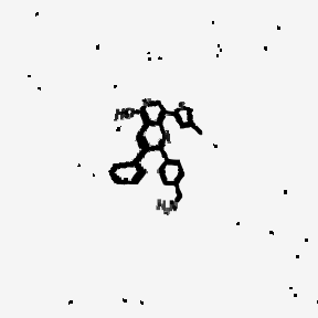 Cc1csc(-c2cnc(O)c3cc(-c4ccccc4)c(-c4ccc(CN)cc4)nc23)c1